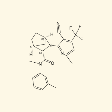 Cc1cccc(N(C)C(=O)[C@@H]2[C@H]3CC[C@H](C3)N2c2nc(C)cc(C(F)(F)F)c2C#N)c1